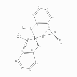 CC(c1ccccc1)[N@@+](Cc1ccccc1)(C(=O)[O-])[C@@H]1C[C@H]1F